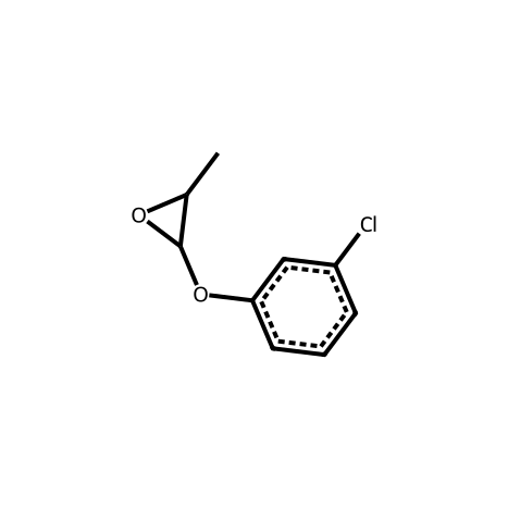 CC1OC1Oc1cccc(Cl)c1